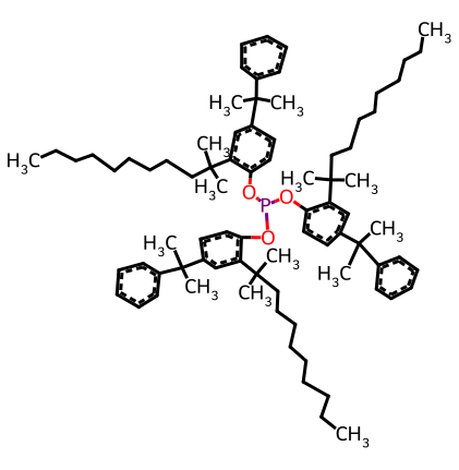 CCCCCCCCCC(C)(C)c1cc(C(C)(C)c2ccccc2)ccc1OP(Oc1ccc(C(C)(C)c2ccccc2)cc1C(C)(C)CCCCCCCCC)Oc1ccc(C(C)(C)c2ccccc2)cc1C(C)(C)CCCCCCCCC